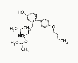 CCCCOc1ccc(-c2ccc(O)cc2CCC[SiH](OC(C)C)OC(C)C)cc1